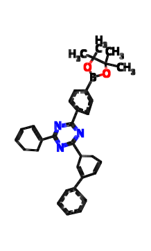 CC1(C)OB(c2ccc(-c3nc(C4=CC=CCC4)nc(C4C=C(c5ccccc5)C=CC4)n3)cc2)OC1(C)C